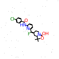 CC(C)(C)C1CC(=C(F)c2cccc(NC(=O)c3ccc(Cl)cc3)n2)CCN1C(=O)O